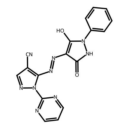 N#Cc1cnn(-c2ncccn2)c1N=Nc1c(O)n(-c2ccccc2)[nH]c1=O